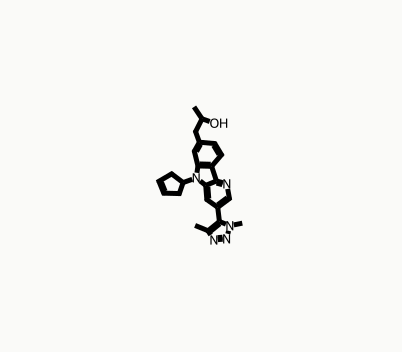 Cc1nnn(C)c1-c1cnc2c3ccc(CC(C)O)cc3n(C3CC=CC3)c2c1